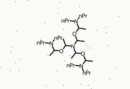 CCCN(CCC)C(C)OC(C)N(C(C)OC(C)N(CCC)CCC)C(C)OC(C)N(CCC)CCC